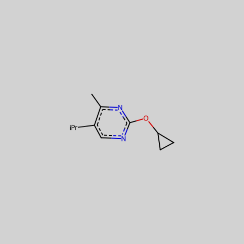 Cc1nc(OC2CC2)ncc1C(C)C